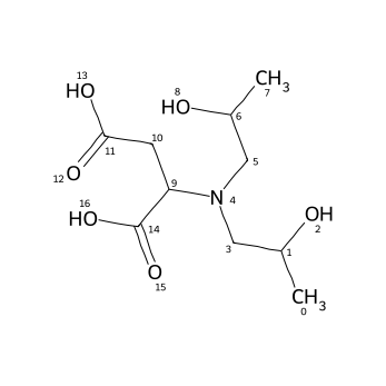 CC(O)CN(CC(C)O)C(CC(=O)O)C(=O)O